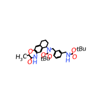 CC1Oc2cc3c(cc2NC1=O)C(N(Cc1cccc(CNC(=O)OC(C)(C)C)c1)C(=O)OC(C)(C)C)CCC3